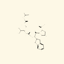 CC(C)NC(=O)OC[C@@H](NC(=O)N[C@H](C(=O)N1CCC[C@H]1C(=O)O)C1Cc2ccccc2C1)C(C)C